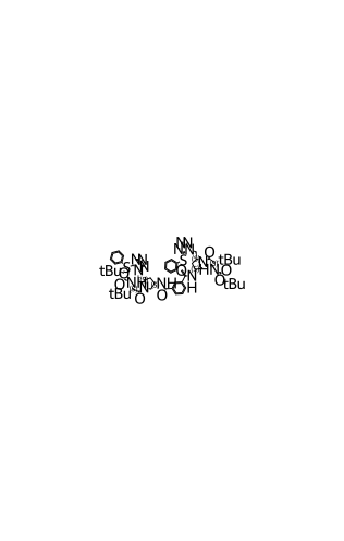 CC(C)(C)OC(=O)N[C@H](C(=O)N1C[C@@H](NC(=O)c2cccc(C(=O)N[C@H]3C[C@@H](Cn4nnnc4Sc4ccccc4)N(C(=O)[C@@H](NC(=O)OC(C)(C)C)C(C)(C)C)C3)c2)C[C@H]1Cn1nnnc1Sc1ccccc1)C(C)(C)C